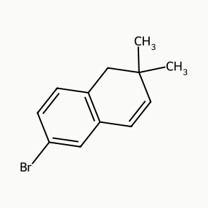 CC1(C)C=Cc2cc(Br)ccc2C1